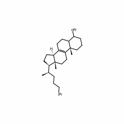 CCCC1CCC[C@]2(C)C3=C(CCC12)[C@@H]1CC[C@H]([C@H](C)CCCC(C)C)[C@@]1(C)CC3